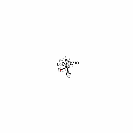 C[CH2][Ni]([CH]=O)([CH2]C)([CH2]C)([CH2]C)([CH2]C)([CH2]C)([CH2]C)[CH2]C